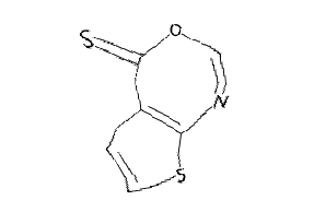 S=c1ocnc2sccc12